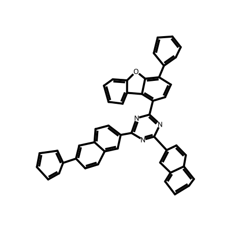 c1ccc(-c2ccc3cc(-c4nc(-c5ccc6ccccc6c5)nc(-c5ccc(-c6ccccc6)c6oc7ccccc7c56)n4)ccc3c2)cc1